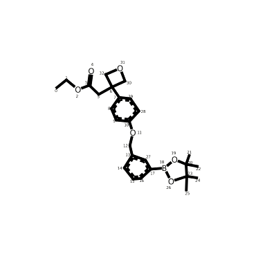 CCOC(=O)CC1(c2ccc(OCc3cccc(B4OC(C)(C)C(C)(C)O4)c3)cc2)COC1